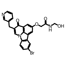 O=C(COc1cc2c(=O)c(Cc3cccnc3)cn3c4ccc(Br)cc4c(c1)c23)NCO